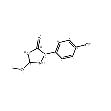 COC1NN(c2ccc(Cl)cc2)C(=O)O1